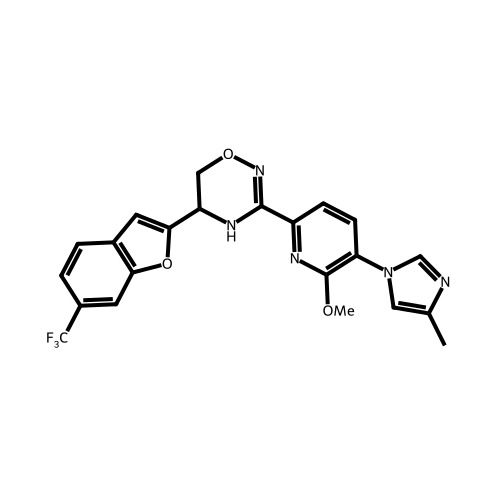 COc1nc(C2=NOCC(c3cc4ccc(C(F)(F)F)cc4o3)N2)ccc1-n1cnc(C)c1